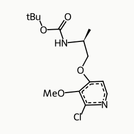 COc1c(OC[C@H](C)NC(=O)OC(C)(C)C)ccnc1Cl